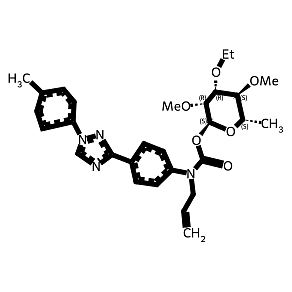 C=CCN(C(=O)O[C@@H]1O[C@@H](C)[C@H](OC)[C@@H](OCC)[C@H]1OC)c1ccc(-c2ncn(-c3ccc(C)cc3)n2)cc1